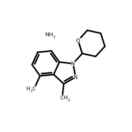 Cc1cccc2c1c(C)nn2C1CCCCO1.N